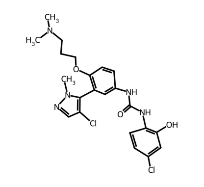 CN(C)CCCOc1ccc(NC(=O)Nc2ccc(Cl)cc2O)cc1-c1c(Cl)cnn1C